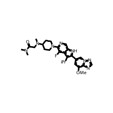 COc1cc(-c2[nH]c3cnc(N4CCC(N(C)CC(=O)N(C)C)CC4)c(F)c3c2C(C)C)cn2ncnc12